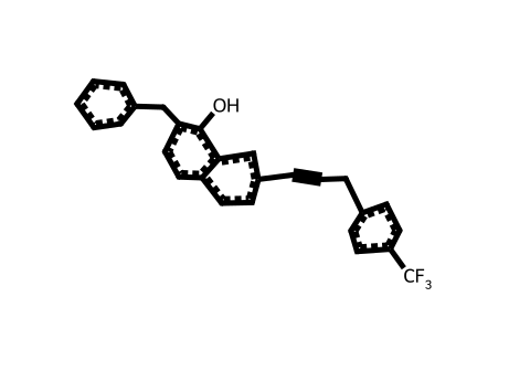 Oc1c(Cc2ccccc2)ccc2ccc(C#CCc3ccc(C(F)(F)F)cc3)cc12